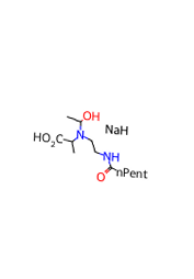 CCCCCC(=O)NCCN(C(C)O)C(C)C(=O)O.[NaH]